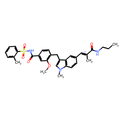 CCCNC(=O)/C(C)=C/c1ccc2c(c1)c(Cc1ccc(C(=O)NS(=O)(=O)c3ccccc3C)cc1OC)cn2C